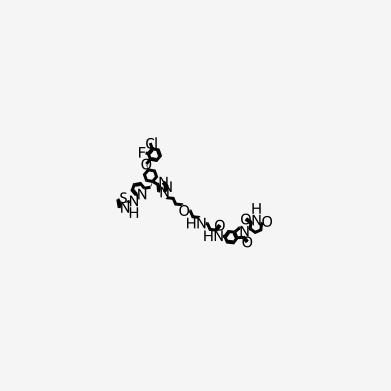 O=C1CCC(N2Cc3cc(NC(=O)CCNCCCOCCCCn4cc([C@]5(Cc6cccc(Nc7nccs7)n6)CC[C@@H](Oc6cccc(Cl)c6F)CC5)nn4)ccc3C2=O)C(=O)N1